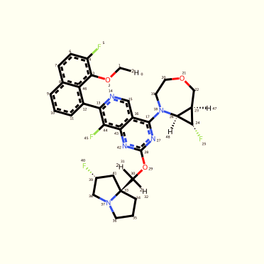 [2H]COc1c(F)ccc2cccc(-c3ncc4c(N5CCOC[C@H]6[C@H](F)[C@H]65)nc(OC([2H])([2H])[C@@]56CCCN5C[C@H](F)C6)nc4c3F)c12